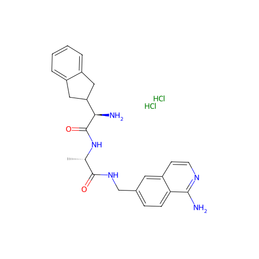 C[C@H](NC(=O)[C@H](N)C1Cc2ccccc2C1)C(=O)NCc1ccc2c(N)nccc2c1.Cl.Cl